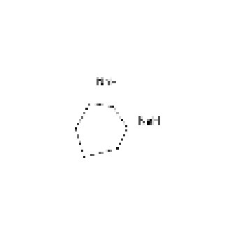 C1CCCCC1.[NaH].[NaH]